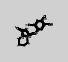 O=c1sc(=Nc2cc(S)c(Cl)cc2F)n2n1CCCC2